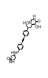 N=[S@@]1(=O)CC[C@H](NCc2ccc(C#Cc3ccc(C(CO)Cc4nc[nH]c(=O)c4O)cc3)cc2)C1